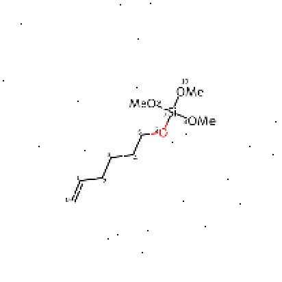 C=CCCCCO[Si](OC)(OC)OC